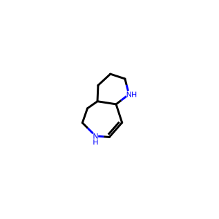 C1=CC2NCCCC2CCN1